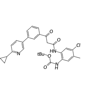 Cc1cc(NC(=O)OC(C)(C)C)c(NC(=O)CC(=O)c2cccc(-c3ccc(C4CC4)nc3)c2)cc1Cl